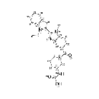 CCn1c(-c2nc3cc(C(=O)N4CCC[C@@H](NC(=O)O)C4)ccc3n2C)cc2ccccc21